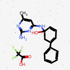 Cc1cc(NC2(O)C=CC=C(c3ccccc3)C2)nc(N)n1.O=C(O)C(F)(F)F